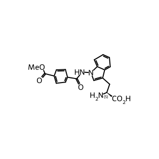 COC(=O)c1ccc(C(=O)Nn2cc(C[C@H](N)C(=O)O)c3ccccc32)cc1